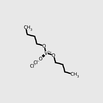 CCCC[O][V+2](=[O])[O]CCCC.[Cl-].[Cl-]